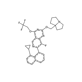 Fc1c(-c2cccc3cccc(C4CC4)c23)ncc2c(OCC(F)(F)F)nc(OCC34CCCN3CCC4)nc12